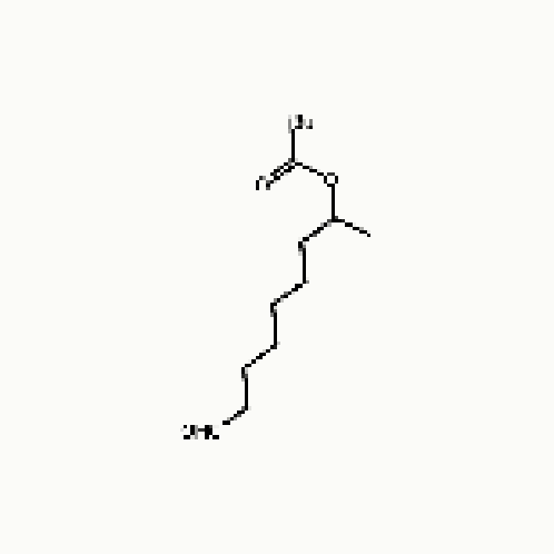 CCC(C)C(=O)OC(C)CCCCCCC=O